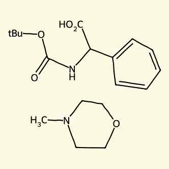 CC(C)(C)OC(=O)NC(C(=O)O)c1ccccc1.CN1CCOCC1